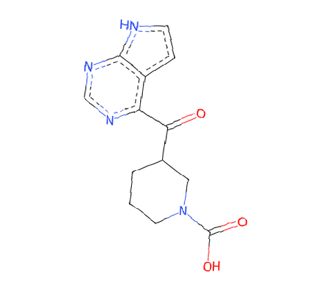 O=C(c1ncnc2[nH]ccc12)C1CCCN(C(=O)O)C1